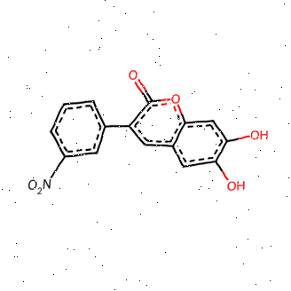 O=c1oc2cc(O)c(O)cc2cc1-c1cccc([N+](=O)[O-])c1